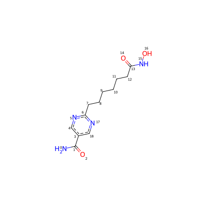 NC(=O)c1cnc(CCCCCCC(=O)NO)nc1